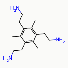 Cc1c(CCN)c(C)c(CCN)c(C)c1CCN